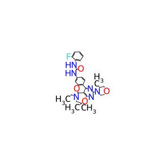 CCN1CC(C)(C)Oc2nc(N3CCOCC3C)nc(-c3ccc(NC(=O)Nc4ccccc4F)cc3)c2C1=O